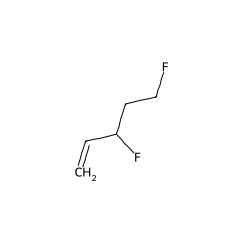 C=CC(F)CCF